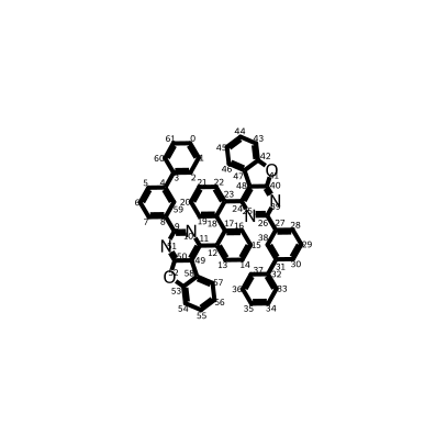 c1ccc(-c2cccc(-c3nc(-c4ccccc4-c4ccccc4-c4nc(-c5cccc(-c6ccccc6)c5)nc5oc6ccccc6c45)c4c(n3)oc3ccccc34)c2)cc1